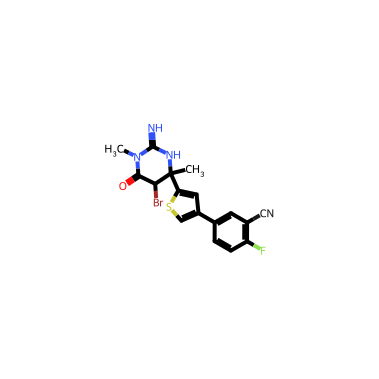 CN1C(=N)NC(C)(c2cc(-c3ccc(F)c(C#N)c3)cs2)C(Br)C1=O